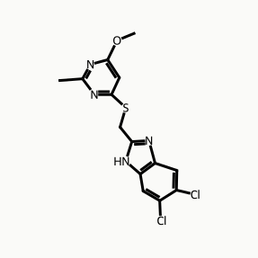 COc1cc(SCc2nc3cc(Cl)c(Cl)cc3[nH]2)nc(C)n1